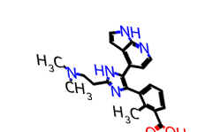 Cc1c(C(=O)O)cccc1-c1nc(CCN(C)C)[nH]c1-c1ccnc2[nH]ccc12